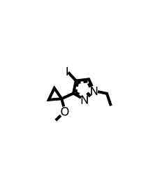 CCn1cc(I)c(C2(OC)CC2)n1